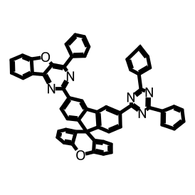 c1ccc(-c2nc(-c3ccccc3)nc(-c3ccc4c(c3)-c3cc(-c5nc(-c6ccccc6)c6oc7ccccc7c6n5)ccc3C43c4ccccc4Oc4ccccc43)n2)cc1